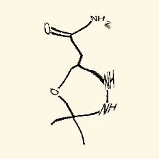 CC1(C)NNC(C(N)=O)O1